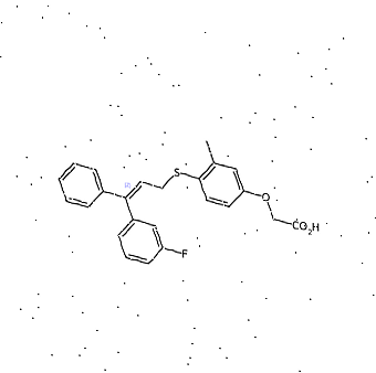 Cc1cc(OCC(=O)O)ccc1SC/C=C(/c1ccccc1)c1cccc(F)c1